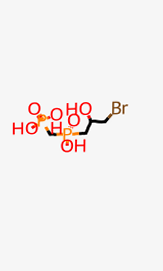 O=P(O)(O)CP(=O)(O)CC(O)CBr